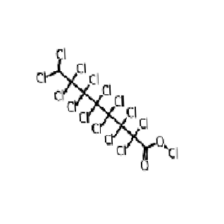 O=C(OCl)C(Cl)(Cl)C(Cl)(Cl)C(Cl)(Cl)C(Cl)(Cl)C(Cl)(Cl)C(Cl)(Cl)C(Cl)Cl